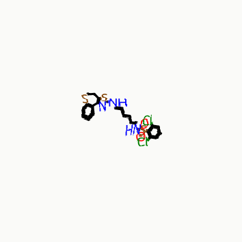 O=S(=O)(NCCCCCCNc1nc2c(s1)CCSc1ccccc1-2)c1c(Cl)cccc1Cl